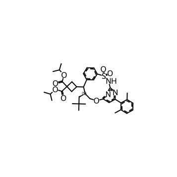 Cc1cccc(C)c1-c1cc2nc(n1)NS(=O)(=O)c1cccc(c1)C(C1CC(C(=O)OC(C)C)(C(=O)OC(C)C)C1)[C@H](CC(C)(C)C)CO2